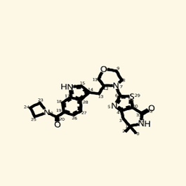 CC1(C)Cc2nc(N3CCOCC3Cc3c[nH]c4cc(C(=O)N5CCC5)ccc34)sc2C(=O)N1